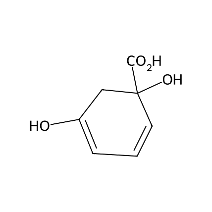 O=C(O)C1(O)C=CC=C(O)C1